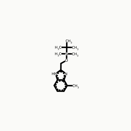 Cc1cccc2[nH]c(CO[Si](C)(C)C(C)(C)C)nc12